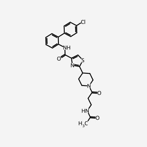 CC(=O)NCCC(=O)N1CCC(c2nc(C(=O)Nc3ccccc3-c3ccc(Cl)cc3)cs2)CC1